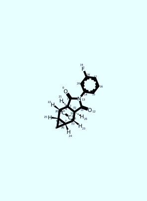 O=C1[C@@H]2[C@@H]3CC[C@@H]([C@@H]4C[C@@H]43)[C@@H]2C(=O)N1c1cccc(F)c1